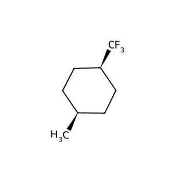 C[C@H]1CC[C@@H](C(F)(F)F)CC1